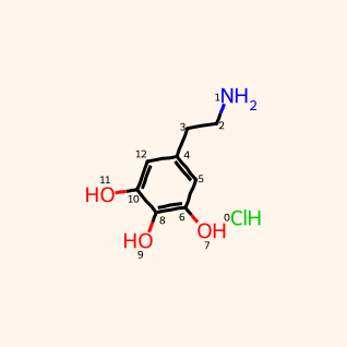 Cl.NCCc1cc(O)c(O)c(O)c1